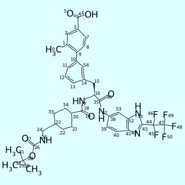 Cc1cc(C(=O)O)ccc1-c1cccc(C[C@H](NC(=O)C2CCC(CNC(=O)OC(C)(C)C)CC2)C(=O)Nc2ccc3nc(C(F)(F)C(F)(F)F)[nH]c3c2)c1